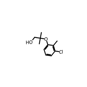 Cc1c(Cl)cccc1OC(C)(C)CO